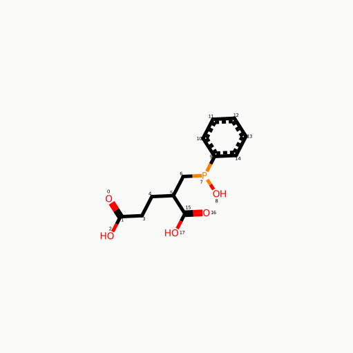 O=C(O)CCC(CP(O)c1ccccc1)C(=O)O